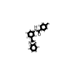 Cc1ccc(C(=O)Nc2cccc(-c3nc4ccccc4s3)c2)cc1